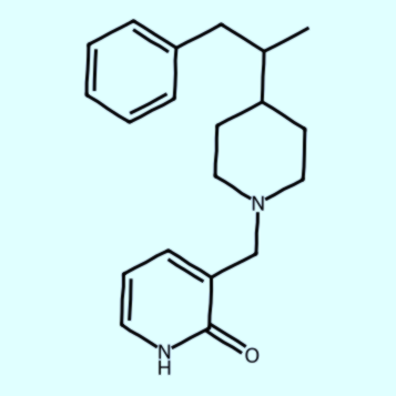 CC(Cc1ccccc1)C1CCN(Cc2ccc[nH]c2=O)CC1